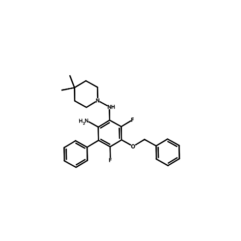 CC1(C)CCN(Nc2c(N)c(-c3ccccc3)c(F)c(OCc3ccccc3)c2F)CC1